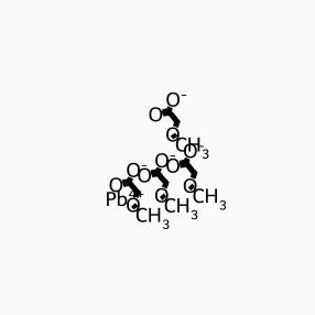 COCC(=O)[O-].COCC(=O)[O-].COCC(=O)[O-].COCC(=O)[O-].[Pb+4]